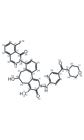 Cc1c2c(cn(Nc3ccc(C(=O)N4CCOCC4)cn3)c1=O)-c1cccc(-n3ncc4cccc(F)c4c3=O)c1CC(O)C2